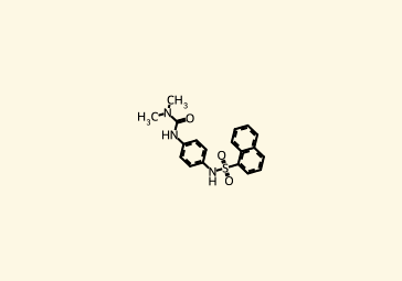 CN(C)C(=O)Nc1ccc(NS(=O)(=O)c2cccc3ccccc23)cc1